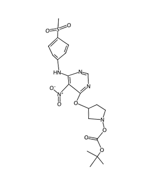 CC(C)(C)OC(=O)ON1CCC(Oc2ncnc(Nc3ccc(S(C)(=O)=O)cc3)c2[N+](=O)[O-])C1